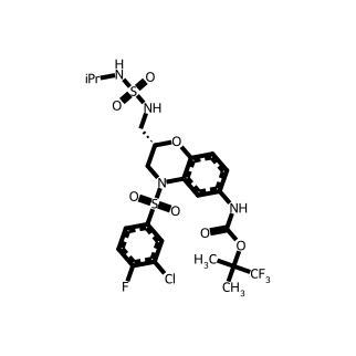 CC(C)NS(=O)(=O)NC[C@H]1CN(S(=O)(=O)c2ccc(F)c(Cl)c2)c2cc(NC(=O)OC(C)(C)C(F)(F)F)ccc2O1